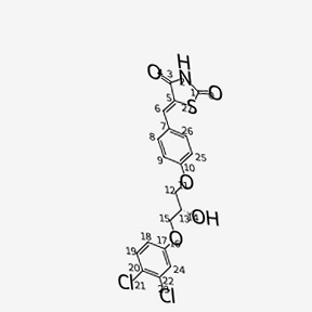 O=C1NC(=O)C(=Cc2ccc(OC[C@H](O)COc3ccc(Cl)c(Cl)c3)cc2)S1